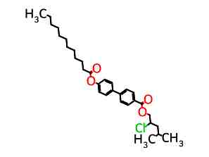 CCCCCCCCCCCC(=O)Oc1ccc(-c2ccc(C(=O)OCC(Cl)CC(C)C)cc2)cc1